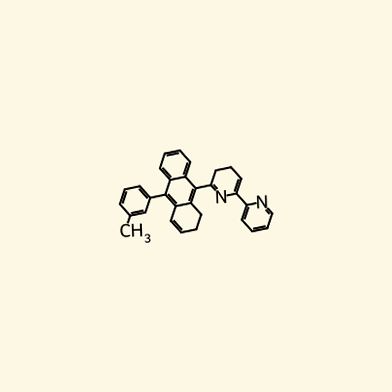 Cc1cccc(-c2c3c(c(C4=NC(c5ccccn5)=CCC4)c4ccccc24)CCC=C3)c1